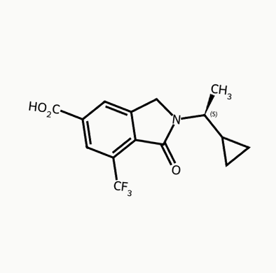 C[C@@H](C1CC1)N1Cc2cc(C(=O)O)cc(C(F)(F)F)c2C1=O